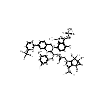 Cn1nc(NS(C)(=O)=O)c2c(Cl)ccc(N3Cc4ccc(-c5nccc(C(F)(F)F)n5)cc4N=C3[C@H](Cc3cc(F)cc(F)c3)NC(=O)Cn3nc(C(F)F)c4c3C(F)(F)[C@@H]3C[C@H]43)c21